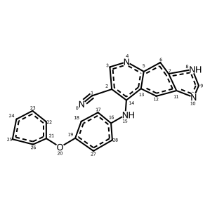 N#Cc1cnc2cc3[nH]cnc3cc2c1Nc1ccc(Oc2ccccc2)cc1